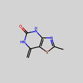 C=C1NC(=O)Nc2nc(C)sc21